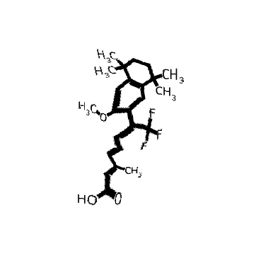 COc1cc2c(cc1/C(=C/C=C/C(C)=C/C(=O)O)C(F)(F)F)C(C)(C)CCC2(C)C